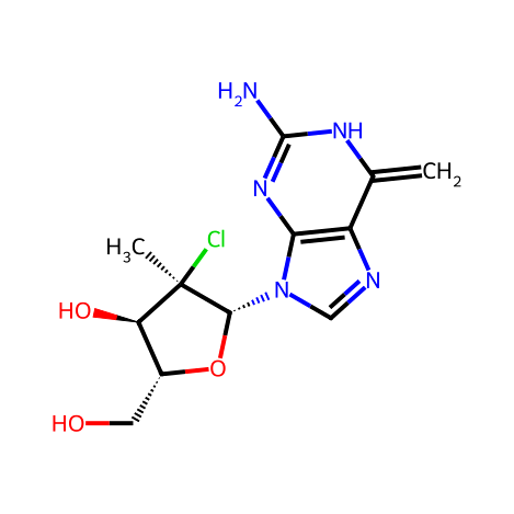 C=C1NC(N)=Nc2c1ncn2[C@@H]1O[C@H](CO)[C@@H](O)[C@@]1(C)Cl